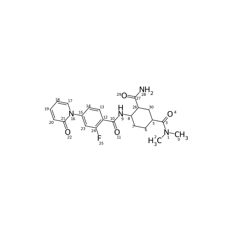 CN(C)C(=O)C1CCC(NC(=O)c2ccc(-n3ccccc3=O)cc2F)C(C(N)=O)C1